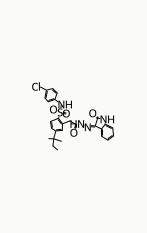 CCC(C)(C)c1ccc(S(=O)(=O)Nc2ccc(Cl)cc2)c(CC(=O)NN=C2C(=O)Nc3ccccc32)c1